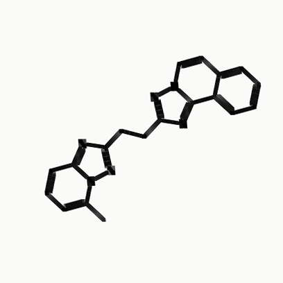 Cc1cccc2nc(CCc3nc4c5ccccc5ccn4n3)nn12